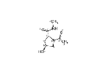 CNC(=O)[C@H]1C[C@H](O)CN1C(C)=O